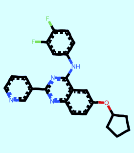 Fc1ccc(Nc2nc(-c3cccnc3)nc3ccc(OC4CCCC4)cc23)cc1F